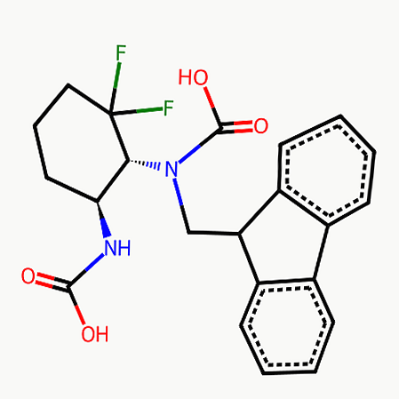 O=C(O)N[C@H]1CCCC(F)(F)[C@@H]1N(CC1c2ccccc2-c2ccccc21)C(=O)O